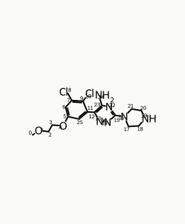 COCCOc1cc(Cl)c(Cl)c(-c2nnc(N3CCNCC3)nc2N)c1